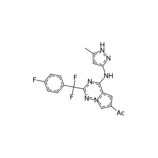 CC(=O)c1cc2c(Nc3cc(C)[nH]n3)nc(C(F)(F)c3ccc(F)cc3)nn2c1